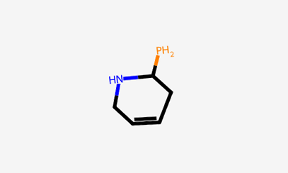 PC1CC=CCN1